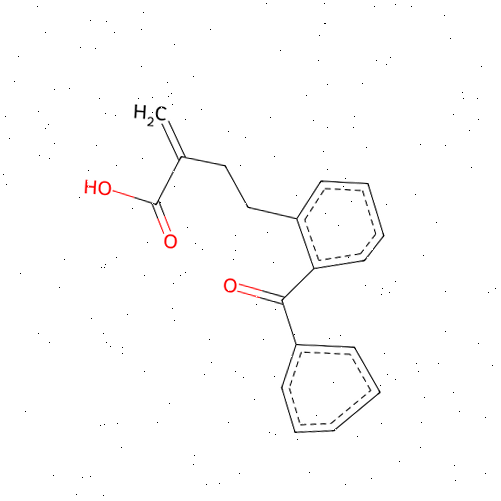 C=C(CCc1ccccc1C(=O)c1ccccc1)C(=O)O